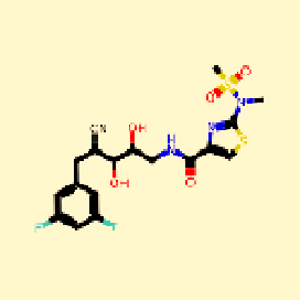 CN(c1nc(C(=O)NCC(O)C(O)C(C#N)Cc2cc(F)cc(F)c2)cs1)S(C)(=O)=O